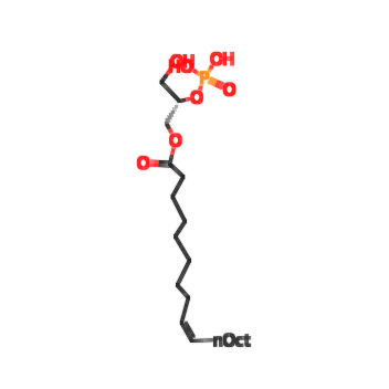 CCCCCCCC/C=C\CCCCCCCC(=O)OC[C@H](CO)OP(=O)(O)O